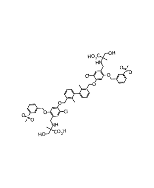 Cc1c(COc2cc(OCc3cccc(S(C)(=O)=O)c3)c(CN[C@@](C)(CO)C(=O)O)cc2Cl)cccc1-c1cccc(COc2cc(OCc3cccc(S(C)(=O)=O)c3)c(CN[C@@](C)(CO)C(=O)O)cc2Cl)c1C